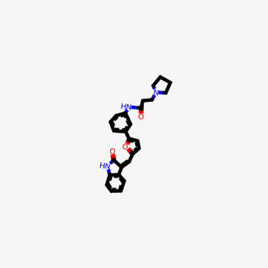 O=C(CCN1CCCC1)Nc1cccc(-c2ccc(C=C3C(=O)Nc4ccccc43)o2)c1